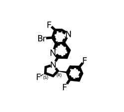 Fc1ccc(F)c([C@H]2C[C@H](F)CN2c2ccc3ncc(F)c(Br)c3n2)c1